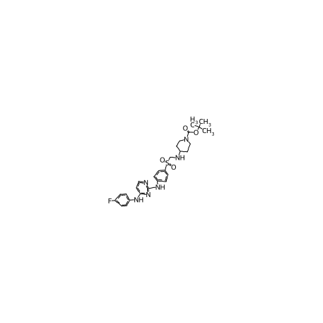 CC(C)(C)OC(=O)N1CCC(NCS(=O)(=O)c2ccc(Nc3nccc(Nc4ccc(F)cc4)n3)cc2)CC1